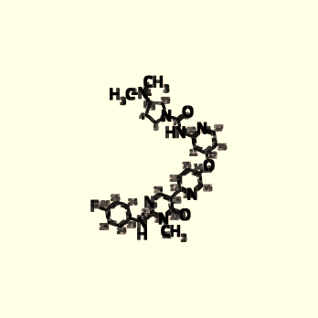 CN(C)[C@@H]1CCN(C(=O)Nc2cc(Oc3ccc(-c4cnc(Nc5ccc(F)cc5)n(C)c4=O)nc3)ccn2)C1